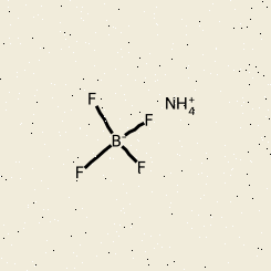 F[B-](F)(F)F.[NH4+]